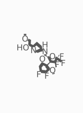 COCC(O)c1ccc(NC(=O)[C@@H]2O[C@@](C)(C(F)(F)F)[C@@H](C)[C@H]2c2ccc(F)c(F)c2OC)cn1